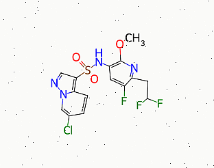 COc1nc(CC(F)F)c(F)cc1NS(=O)(=O)c1cnn2cc(Cl)ccc12